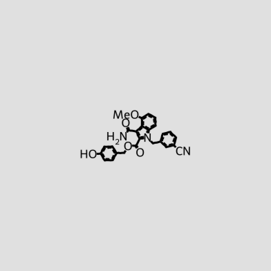 COc1cccc2c1c(C(N)=O)c(C(=O)OCc1ccc(O)cc1)n2Cc1cccc(C#N)c1